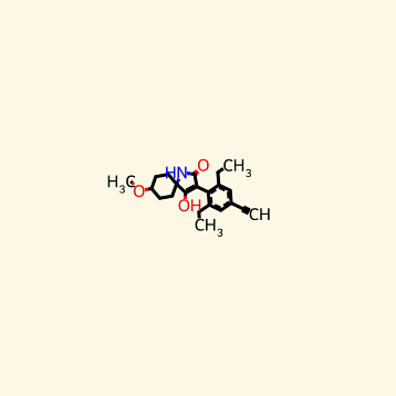 C#Cc1cc(CC)c(C2=C(O)C3(CCC(OC)CC3)NC2=O)c(CC)c1